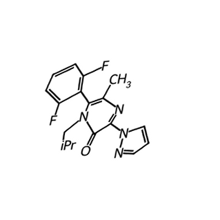 Cc1nc(-n2cccn2)c(=O)n(CC(C)C)c1-c1c(F)cccc1F